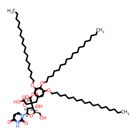 CCCCCCCCCCCCCCCCCCOc1cc(CC(CC(=O)O)(C(=O)O)[C@@]2(O)[C@@H](CO)O[C@@H](n3ccc(=O)[nH]c3=O)[C@@H]2OC)cc(OCCCCCCCCCCCCCCCCCC)c1OCCCCCCCCCCCCCCCCCC